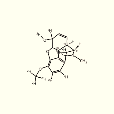 [2H]OC1([2H])C=C[C@H]2[C@@H]3N(C)CC[C@@]24c2c(c(OC([2H])([2H])[2H])c([2H])c([2H])c2C3([2H])[2H])OC14